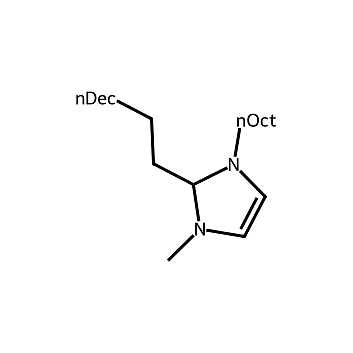 CCCCCCCCCCCCC1N(C)C=CN1CCCCCCCC